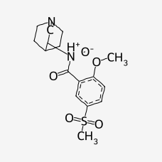 COc1ccc(S(C)(=O)=O)cc1C(=O)[NH+]([O-])C1CN2CCC1CC2